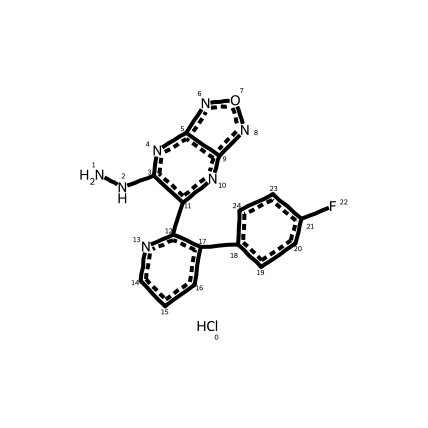 Cl.NNc1nc2nonc2nc1-c1ncccc1-c1ccc(F)cc1